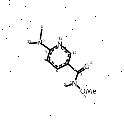 CON(C)C(=O)c1ccc(N(C)C)nc1